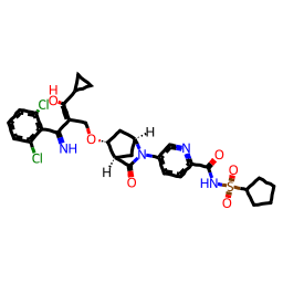 N=C(/C(CO[C@@H]1C[C@@H]2C[C@H]1C(=O)N2c1ccc(C(=O)NS(=O)(=O)C2CCCC2)nc1)=C(\O)C1CC1)c1c(Cl)cccc1Cl